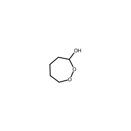 OC1CCCCOO1